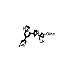 CO[C@H]1C[C@@](CC#N)(n2cc(-c3cc(-c4cnn(C)c4)cc4nccn34)cn2)C1